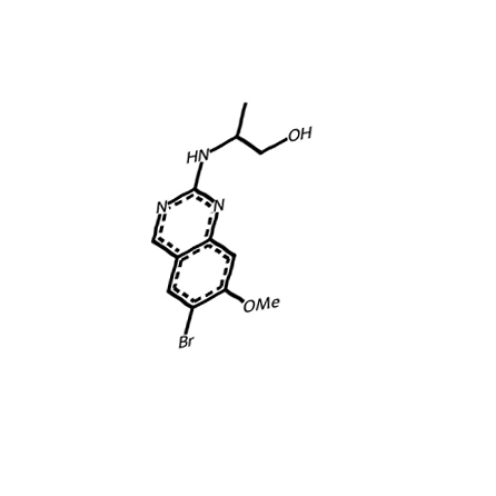 COc1cc2nc(NC(C)CO)ncc2cc1Br